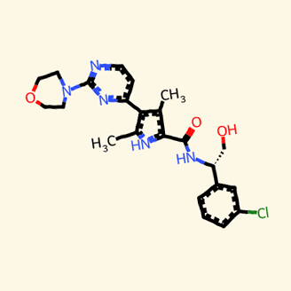 Cc1[nH]c(C(=O)N[C@H](CO)c2cccc(Cl)c2)c(C)c1-c1ccnc(N2CCOCC2)n1